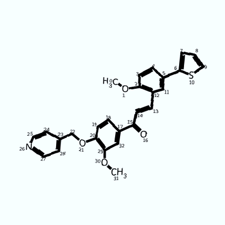 COc1ccc(-c2cccs2)cc1C=CC(=O)c1ccc(OCc2ccncc2)c(OC)c1